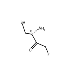 N[C@@H](CS)C(=O)CF